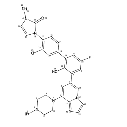 CC(C)N1CCN(c2cc(-c3cc(F)cc(-c4ccc(-n5ccn(C)c5=O)c(Cl)c4)c3O)cn3ccnc23)CC1